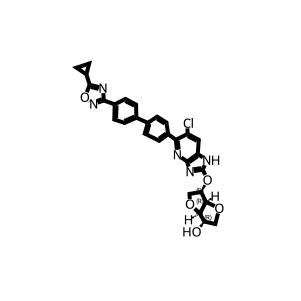 O[C@@H]1CO[C@H]2[C@@H]1OC[C@H]2Oc1nc2nc(-c3ccc(-c4ccc(-c5noc(C6CC6)n5)cc4)cc3)c(Cl)cc2[nH]1